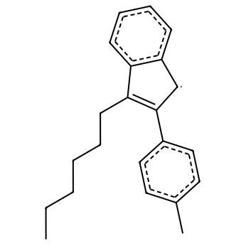 CCCCCCC1=C(c2ccc(C)cc2)[CH]c2ccccc21